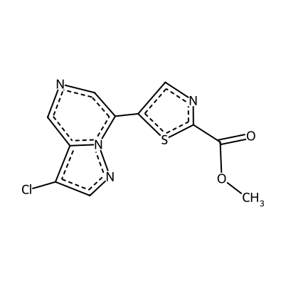 COC(=O)c1ncc(-c2cncc3c(Cl)cnn23)s1